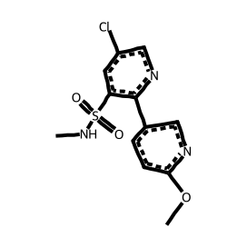 CNS(=O)(=O)c1cc(Cl)cnc1-c1ccc(OC)nc1